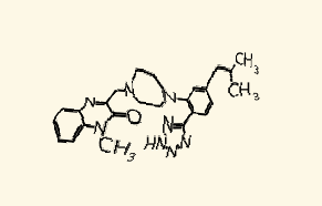 CC(C)Cc1ccc(-c2nn[nH]n2)c(N2CCN(Cc3nc4ccccc4n(C)c3=O)CC2)c1